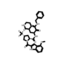 COc1cccc2[nH]c(C(=O)N3C[C@H](C(F)(F)F)C[C@H]3C(=O)NC(CC3CCCNC3=O)C(=O)C(=O)NCc3ccccc3)cc12